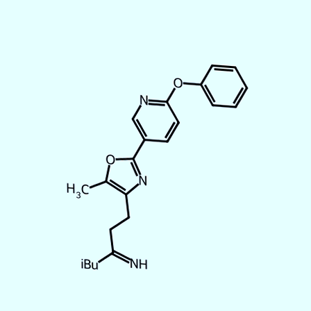 CCC(C)C(=N)CCc1nc(-c2ccc(Oc3ccccc3)nc2)oc1C